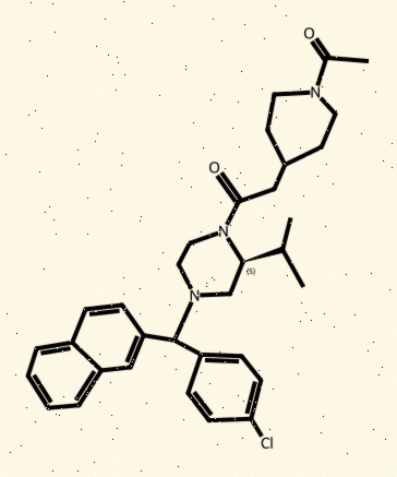 CC(=O)N1CCC(CC(=O)N2CCN(C(c3ccc(Cl)cc3)c3ccc4ccccc4c3)C[C@@H]2C(C)C)CC1